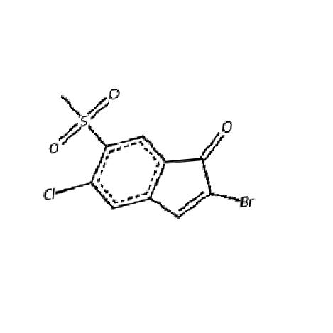 CS(=O)(=O)c1cc2c(cc1Cl)C=C(Br)C2=O